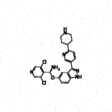 N[C@@H](Oc1ccc2[nH]nc(-c3ccc(C4CCNCC4)nc3)c2c1)c1c(Cl)cncc1Cl